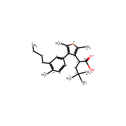 CCCCc1cc(-c2c(C)sc(C)c2C(CC(C)(C)C)C(=O)O)ccc1C